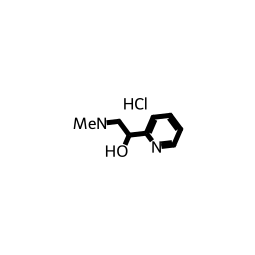 CNCC(O)c1ccccn1.Cl